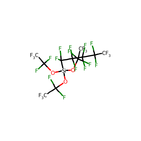 FC(F)(F)C(F)(F)O[Si](OC(F)(F)C(F)(F)F)(OC(F)(F)C(F)(F)F)C(F)(F)C(F)(F)C(F)(F)C(F)(F)C(F)(F)F